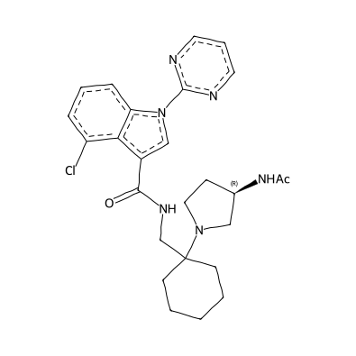 CC(=O)N[C@@H]1CCN(C2(CNC(=O)c3cn(-c4ncccn4)c4cccc(Cl)c34)CCCCC2)C1